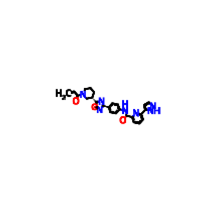 C=CC(=O)N1CCC[C@H](c2nc(-c3ccc(NC(=O)c4cccc(-c5ccn[nH]5)n4)cc3)no2)C1